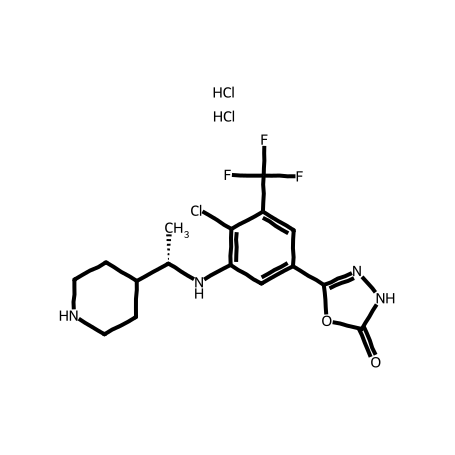 C[C@H](Nc1cc(-c2n[nH]c(=O)o2)cc(C(F)(F)F)c1Cl)C1CCNCC1.Cl.Cl